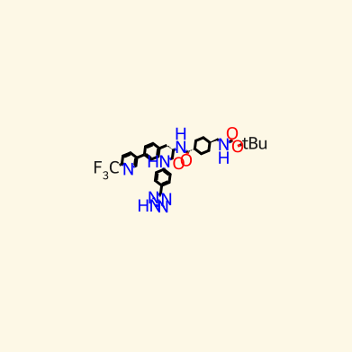 CC(C)(C)OC(=O)NC[C@H]1CC[C@H](C(=O)N[C@@H](Cc2ccc(-c3ccc(C(F)(F)F)nc3)cc2)C(=O)Nc2ccc(-c3nn[nH]n3)cc2)CC1